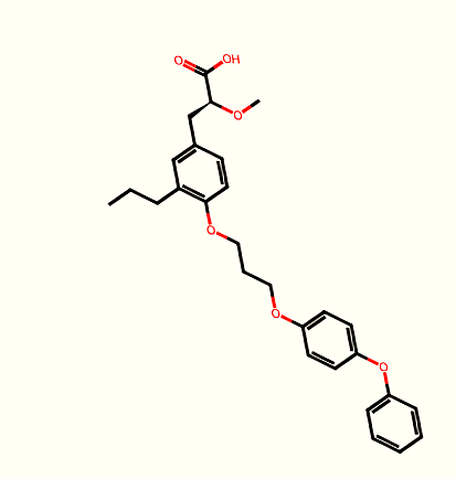 CCCc1cc(C[C@H](OC)C(=O)O)ccc1OCCCOc1ccc(Oc2ccccc2)cc1